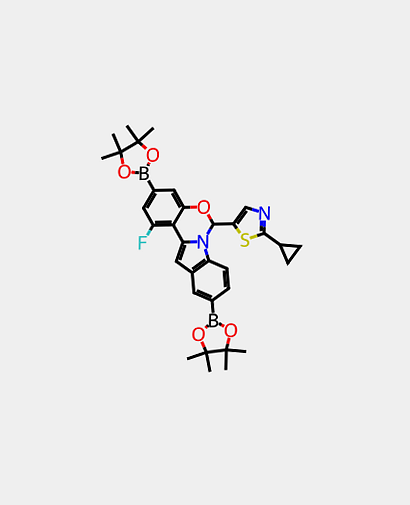 CC1(C)OB(c2cc(F)c3c(c2)OC(c2cnc(C4CC4)s2)n2c-3cc3cc(B4OC(C)(C)C(C)(C)O4)ccc32)OC1(C)C